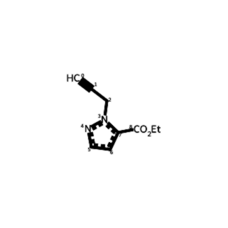 C#CCn1nccc1C(=O)OCC